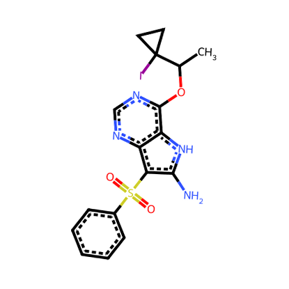 CC(Oc1ncnc2c(S(=O)(=O)c3ccccc3)c(N)[nH]c12)C1(I)CC1